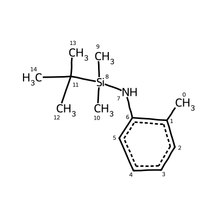 Cc1ccccc1N[Si](C)(C)C(C)(C)C